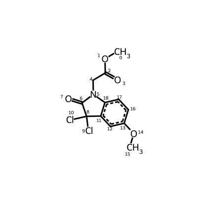 COC(=O)CN1C(=O)C(Cl)(Cl)c2cc(OC)ccc21